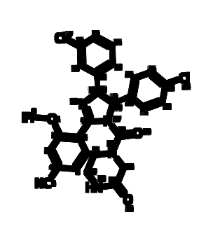 CC(C)Oc1cc(C#N)ccc1C1=N[C@@H](c2cccc(Cl)c2)[C@@H](c2ccc(Cl)cc2)N1C(=O)N1CCNC(=O)C1